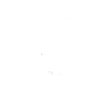 O=C(O)CC(O)COC[C@H](NC(=O)Cc1cccs1)B(O)O